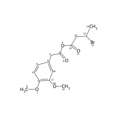 COc1ccc(CC(=O)OC(=O)[CH]C(C)Br)cc1OC